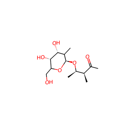 CC(=O)[C@@H](C)[C@@H](C)O[C@H]1OC(CO)[C@H](O)[C@H](O)C1C